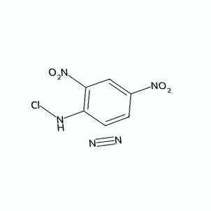 N#N.O=[N+]([O-])c1ccc(NCl)c([N+](=O)[O-])c1